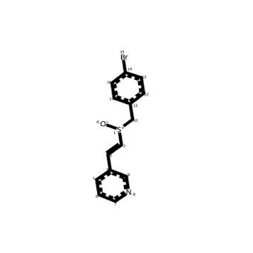 [O-][S+](C=Cc1cccnc1)Cc1ccc(Br)cc1